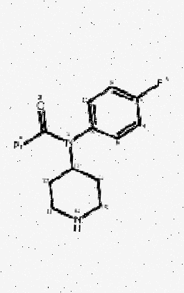 CC(C)C(=O)N(c1ccc(F)cc1)C1CCNCC1